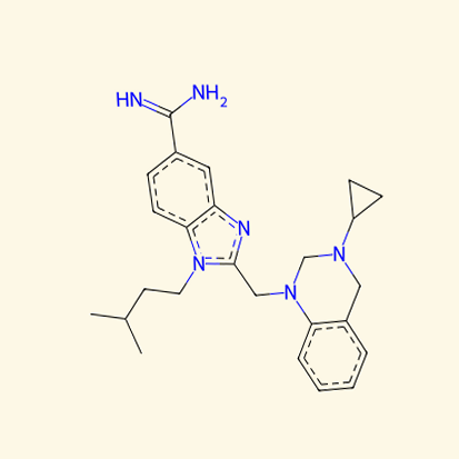 CC(C)CCn1c(CN2CN(C3CC3)Cc3ccccc32)nc2cc(C(=N)N)ccc21